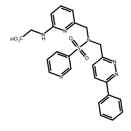 O=C(O)CNc1cccc(CN(Cc2ccc(-c3ccccc3)nn2)S(=O)(=O)c2cccnc2)n1